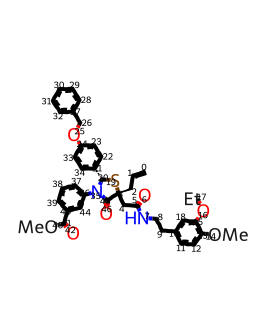 C=CC[C@]1(CC(=O)NCCc2ccc(OC)c(OCC)c2)S[C@@H](c2ccc(OCc3ccccc3)cc2)N(c2cccc(C(=O)OC)c2)C1=O